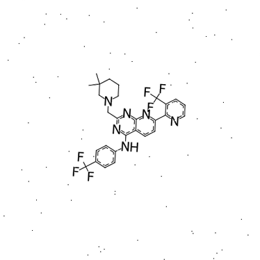 CC1(C)CCCN(Cc2nc(Nc3ccc(C(F)(F)F)cc3)c3ccc(-c4ncccc4C(F)(F)F)nc3n2)C1